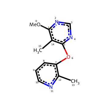 COc1ncnc(Oc2cccnc2C)c1C